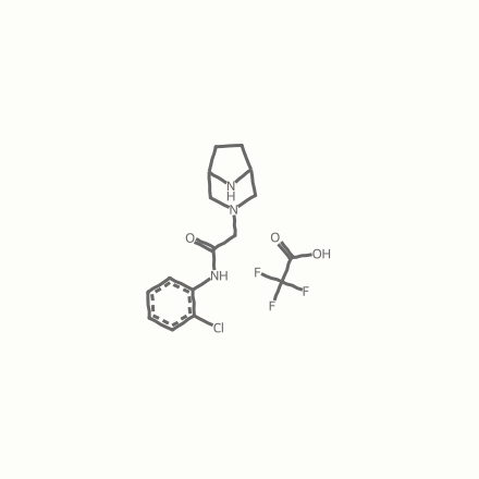 O=C(CN1CC2CCC(C1)N2)Nc1ccccc1Cl.O=C(O)C(F)(F)F